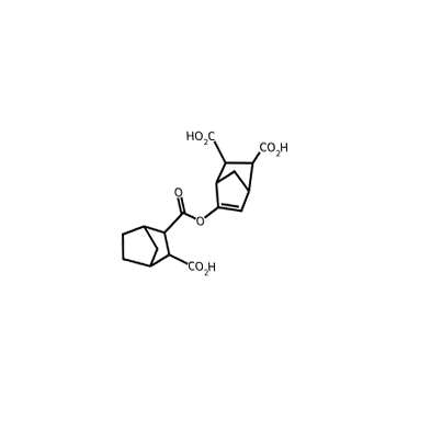 O=C(O)C1C2C=C(OC(=O)C3C4CCC(C4)C3C(=O)O)C(C2)C1C(=O)O